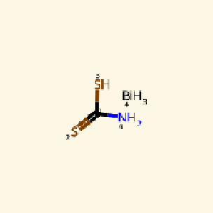 NC(=S)S.[BiH3]